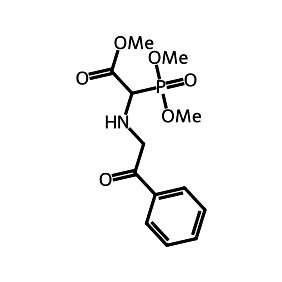 COC(=O)C(NCC(=O)c1ccccc1)P(=O)(OC)OC